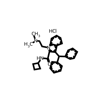 CN(C)CCn1c(C(=O)NC2CCC2)c(C(c2ccccc2)c2ccccc2)c2ccccc21.Cl